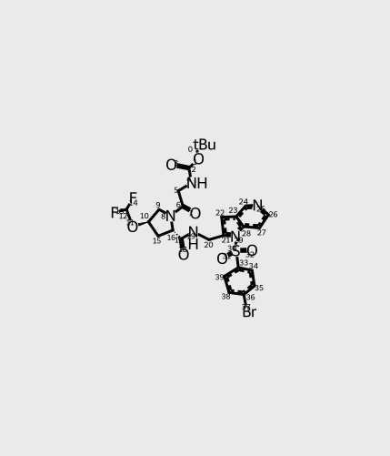 CC(C)(C)OC(=O)NCC(=O)N1C[C@H](OC(F)F)C[C@H]1C(=O)NCc1cc2cnccc2n1S(=O)(=O)c1ccc(Br)cc1